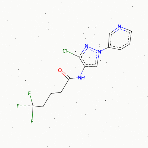 O=C(CCCC(F)(F)F)Nc1cn(-c2cccnc2)nc1Cl